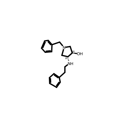 O[C@@H]1CN(Cc2ccccc2)C[C@H]1NCCc1ccccc1